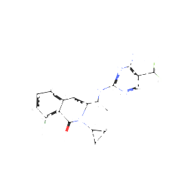 C[C@H](Nc1ncc(C(F)F)c(N)n1)c1cc2cccc(Cl)c2c(=O)n1C1CC1